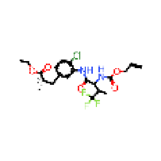 C=CCOC(=O)NC(C(=O)Nc1cc(C[C@H](C)C(=O)OCC)ccc1Cl)C(C)C(F)(F)F